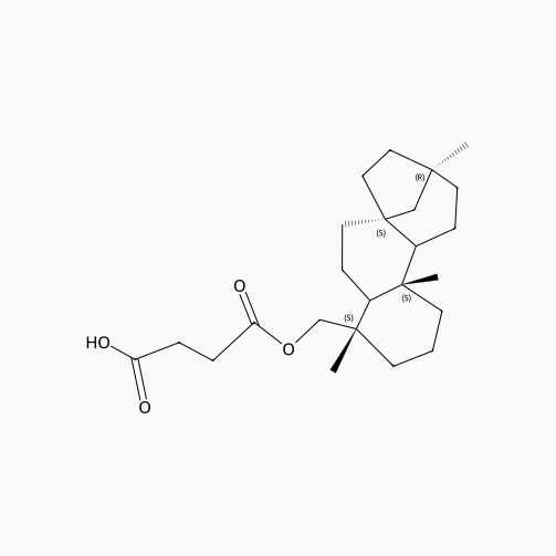 C[C@@]12CCC3[C@@](CCC4[C@@](C)(COC(=O)CCC(=O)O)CCC[C@]43C)(CC1)C2